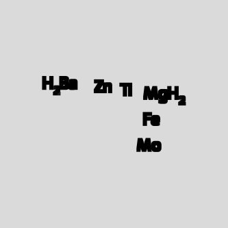 [BaH2].[Fe].[MgH2].[Mo].[Ti].[Zn]